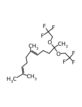 CC(C)=CCCC(C)=CCCC(C)(OCC(F)(F)F)OCC(F)(F)F